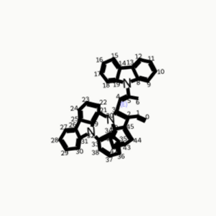 C=Cc1c(/C=C(\C)n2c3ccccc3c3ccccc32)n(-c2cccc3c4ccccc4n(-c4ccccc4)c23)c2ccccc12